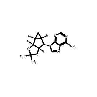 CC1(C)O[C@@H]2[C@@H]3C[C@@H]3[C@@H](n3cnc4c(N)ncnc43)[C@@H]2O1